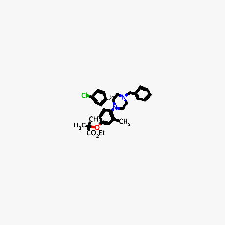 CCOC(=O)C(C)(C)Oc1ccc(N2CCN(Cc3ccccc3)C[C@H]2c2ccc(Cl)cc2)c(C)c1